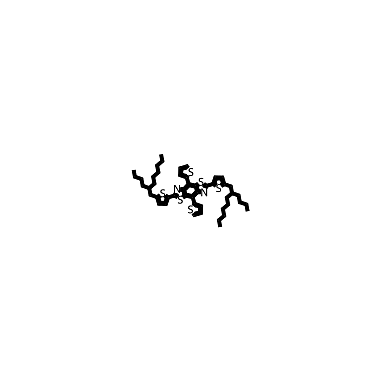 CCCCCCC(CCCC)Cc1ccc(-c2nc3c(-c4cccs4)c4sc(-c5ccc(CC(CCCC)CCCCCC)s5)nc4c(-c4cccs4)c3s2)s1